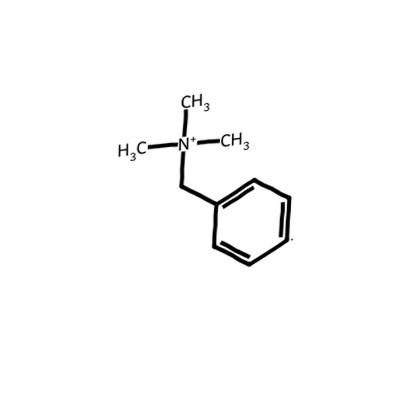 C[N+](C)(C)Cc1cc[c]cc1